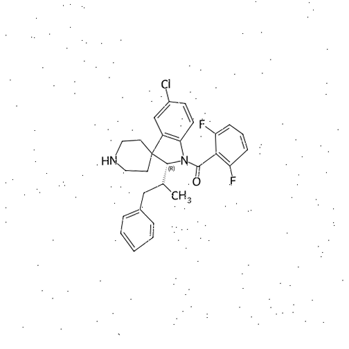 CC(Cc1ccccc1)[C@H]1N(C(=O)c2c(F)cccc2F)c2ccc(Cl)cc2C12CCNCC2